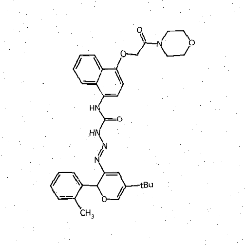 Cc1ccccc1C1OC=C(C(C)(C)C)C=C1N=NNC(=O)Nc1ccc(OCC(=O)N2CCOCC2)c2ccccc12